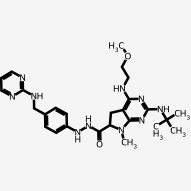 COCCNc1nc(NC(C)(C)C)nc2c1CC(C(=O)NNc1ccc(CNc3ncccn3)cc1)N2C